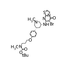 CN1C[C@H](Nc2nc3sccn3c(=O)c2Br)C[C@H](c2ccc(OCCCN(C)C(=O)OC(C)(C)C)cc2)C1